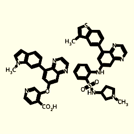 Cc1csc2ccc(-c3cc(Nc4ccccc4S(=O)(=O)NC4CCN(C)C4)cc4nccnc34)cc12.Cn1ccc2ccc(-c3cc(Oc4cnccc4C(=O)O)cc4nccnc34)cc21